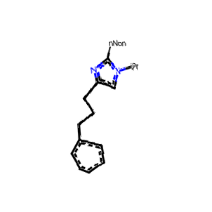 CCCCCCCCCc1nc(CCCc2ccccc2)cn1C(C)C